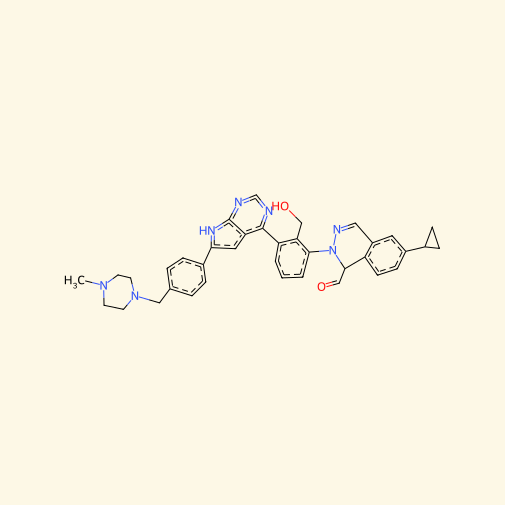 CN1CCN(Cc2ccc(-c3cc4c(-c5cccc(N6N=Cc7cc(C8CC8)ccc7C6C=O)c5CO)ncnc4[nH]3)cc2)CC1